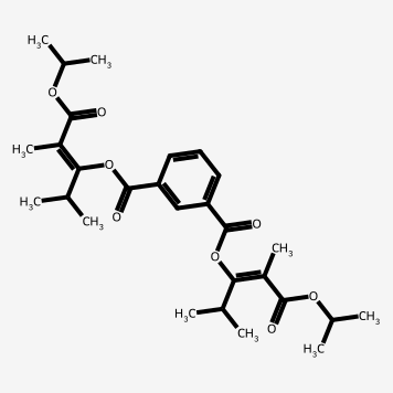 CC(C(=O)OC(C)C)=C(OC(=O)c1cccc(C(=O)OC(=C(C)C(=O)OC(C)C)C(C)C)c1)C(C)C